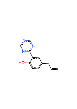 C=CCc1ccc(O)c(-c2ncncn2)c1